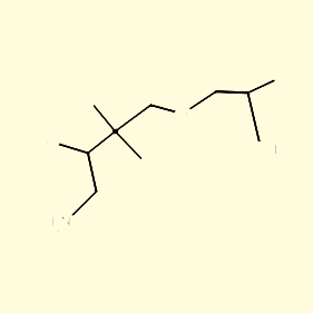 CC(O)COCC(C)(C)C(O)CN